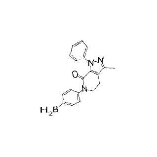 Bc1ccc(N2CCc3c(C)nn(-c4ccccc4)c3C2=O)cc1